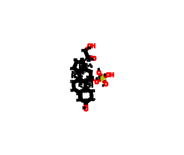 C[C@]12C[C@H](OS(=O)(=O)O)[C@H]3[C@@H](CCC4=CC(=O)CC[C@@]43C)[C@@H]1CC[C@@H]2C(=O)CO